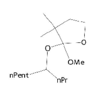 CCCCCC(CCC)OC1(OC)OCCC1(C)C